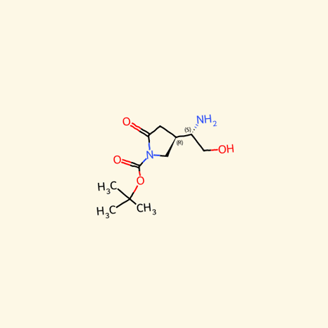 CC(C)(C)OC(=O)N1C[C@H]([C@H](N)CO)CC1=O